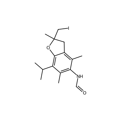 Cc1c2c(c(C(C)C)c(C)c1NC=O)OC(C)(CI)C2